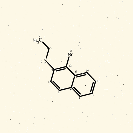 CCSc1ccc2ccccc2c1Br